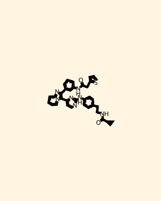 O=C(Cc1cccs1)Nc1cccc(-c2nc3ccccn3c2-c2ccnc(Nc3ccc(CCNC(=O)C4CC4)cc3)n2)c1